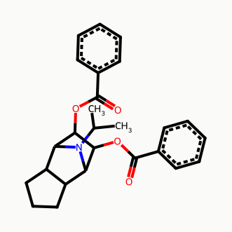 CC(C)N1C2C3CCCC3C1C(OC(=O)c1ccccc1)C2OC(=O)c1ccccc1